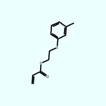 C=CC(=O)OCCSc1cccc(C)c1